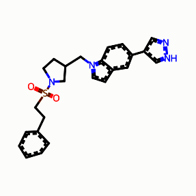 O=S(=O)(CCc1ccccc1)N1CCC(Cn2ccc3cc(-c4cn[nH]c4)ccc32)C1